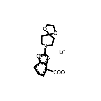 O=C([O-])c1cccc2oc(N3CCC4(CC3)OCCO4)nc12.[Li+]